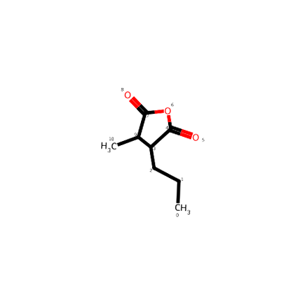 CCCC1C(=O)OC(=O)C1C